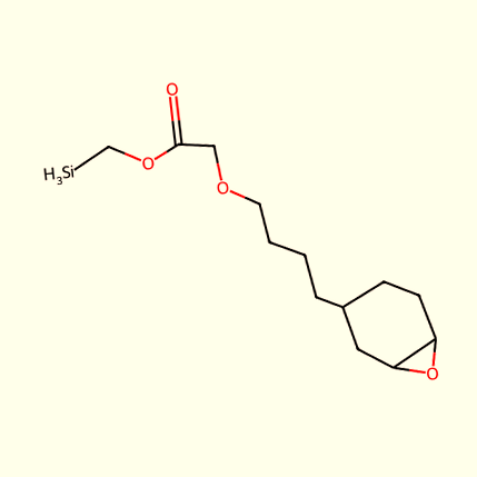 O=C(COCCCCC1CCC2OC2C1)OC[SiH3]